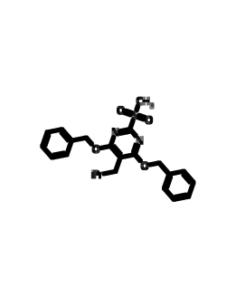 CC(C)Cc1c(OCc2ccccc2)nc(S(C)(=O)=O)nc1OCc1ccccc1